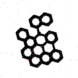 c1ccc(-c2cccc(N(c3cccc4ccccc34)c3cccc4ccccc34)c2N(c2cccc3ccccc23)c2cccc3ccccc23)cc1